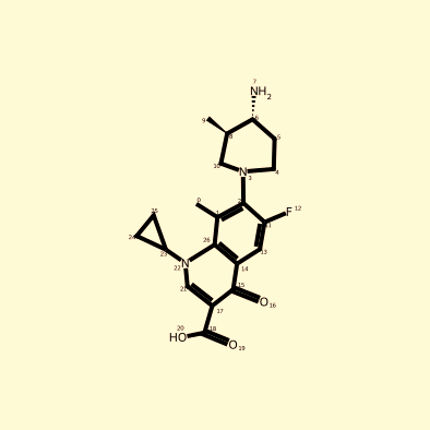 Cc1c(N2CC[C@@H](N)[C@H](C)C2)c(F)cc2c(=O)c(C(=O)O)cn(C3CC3)c12